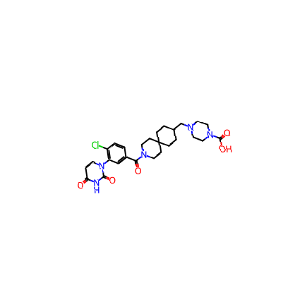 O=C1CCN(c2cc(C(=O)N3CCC4(CCC(CN5CCN(C(=O)O)CC5)CC4)CC3)ccc2Cl)C(=O)N1